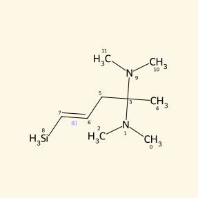 CN(C)C(C)(C/C=C/[SiH3])N(C)C